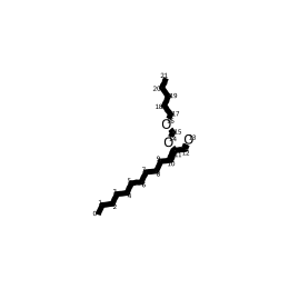 CCCCCCCCCCC=C(C=O)OCOCCCCC